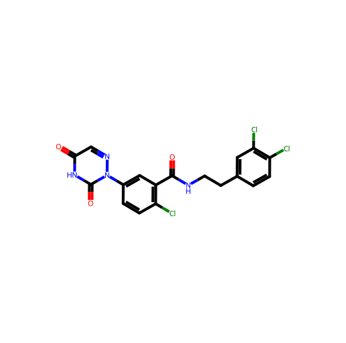 O=C(NCCc1ccc(Cl)c(Cl)c1)c1cc(-n2ncc(=O)[nH]c2=O)ccc1Cl